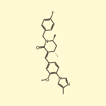 COc1cc(/C=C2/C(=O)N(Cc3ccc(F)cc3)[C@@H](C)C[C@@H]2C)ccc1-n1cnc(C)c1